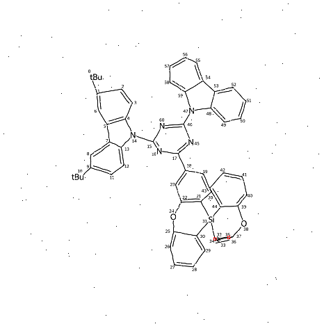 CC(C)(C)c1ccc2c(c1)c1cc(C(C)(C)C)ccc1n2-c1nc(-c2ccc3c(c2)Oc2ccccc2[Si]32c3ccccc3Oc3ccccc32)nc(-n2c3ccccc3c3ccccc32)n1